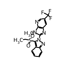 CCS(=O)(=O)c1c2ccccc2nn1-c1nc2cc(C(F)(F)F)cnc2n1C